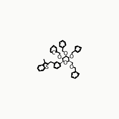 Cc1c(Cc2cccc([C@@H]3O[C@H](COCc4ccccc4)[C@@H](OCc4ccccc4)[C@H](OCc4ccccc4)[C@H]3OCc3ccccc3)c2)sc2ccccc12